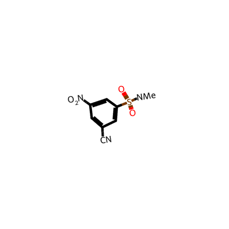 CNS(=O)(=O)c1cc(C#N)cc([N+](=O)[O-])c1